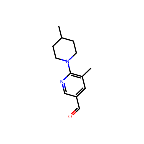 [CH2]C1CCN(c2ncc(C=O)cc2C)CC1